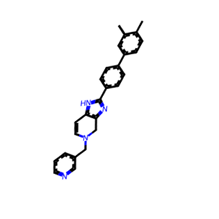 Cc1ccc(-c2ccc(-c3nc4c([nH]3)C=CN(Cc3cccnc3)C4)cc2)cc1C